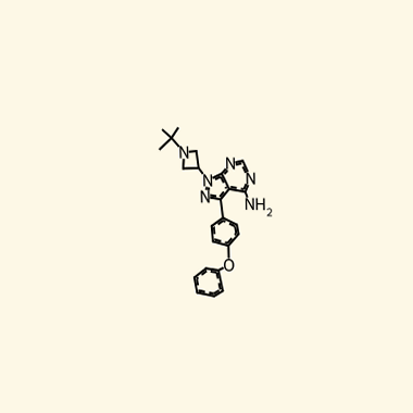 CC(C)(C)N1CC(n2nc(-c3ccc(Oc4ccccc4)cc3)c3c(N)ncnc32)C1